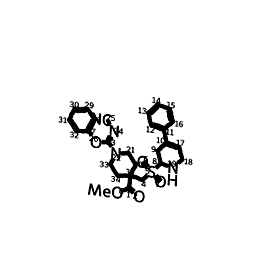 COC(=O)C1(CS(=O)(=O)C2CC(c3ccccc3)=CCN2)CCN(C(=NC#N)Oc2ccccc2)CC1